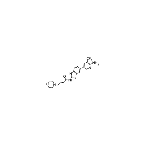 Nc1ncc(-c2ccc3nc(NC(=O)CCCN4CCOCC4)sc3c2)cc1C(F)(F)F